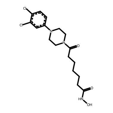 O=C(CCCCCC(=O)N1CCN(c2ccc(Cl)c(Cl)c2)CC1)NO